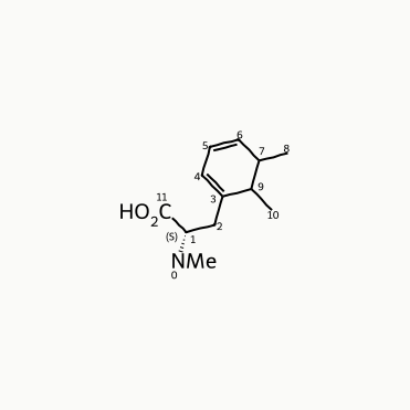 CN[C@@H](CC1=CC=CC(C)C1C)C(=O)O